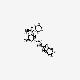 N=Cc1c(NC2CCCCC2)nc(C2CN(c3nc4ccccc4o3)C2)[nH]c1=O